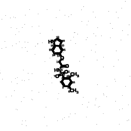 Cc1ccc(S(=O)(=O)NC(=O)COc2ccc3[nH]ccc3c2)c(C)c1